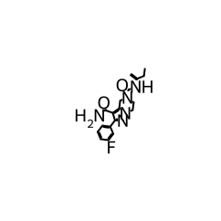 C=C(CC)NC(=O)N1CCn2nc(-c3cccc(F)c3)c(C(N)=O)c2C1